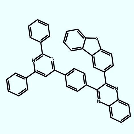 c1ccc(-c2cc(-c3ccc(-c4nc5ccccc5nc4-c4ccc5sc6ccccc6c5c4)cc3)nc(-c3ccccc3)n2)cc1